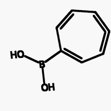 OB(O)C1=CC=C=CC=C1